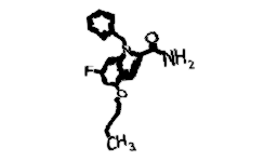 CCCCOc1cc(F)cc2c1cc(C(N)=O)n2Cc1ccccc1